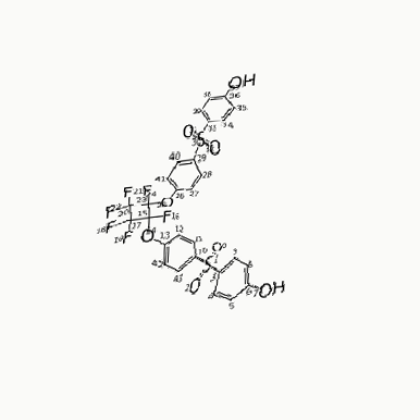 O=S(=O)(c1ccc(O)cc1)c1ccc(OC2(F)C(F)(F)C(F)(F)C2(F)Oc2ccc(S(=O)(=O)c3ccc(O)cc3)cc2)cc1